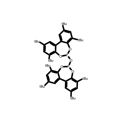 CC(C)(C)c1cc(C(C)(C)C)c2op(Op3oc4c(C(C)(C)C)cc(C(C)(C)C)cc4c4cc(C(C)(C)C)cc(C(C)(C)C)c4o3)oc3c(C(C)(C)C)cc(C(C)(C)C)cc3c2c1